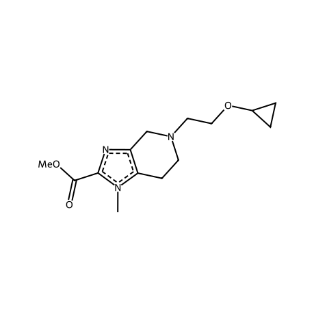 COC(=O)c1nc2c(n1C)CCN(CCOC1CC1)C2